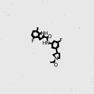 CC(=O)N1CCC(c2cc(F)cc(NC(=O)c3cc4c(F)ccc(C)c4[nH]3)c2)C1